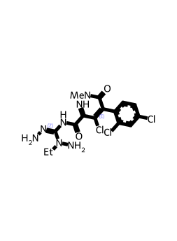 CCN(N)/C(=N\N)NC(=O)C(=N)/C(Cl)=C(\C(=O)NC)c1ccc(Cl)cc1Cl